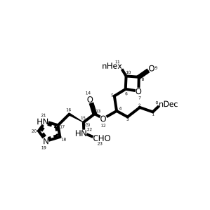 CCCCCCCCCCCCCC(CC1OC(=O)C1CCCCCC)OC(=O)[C@H](Cc1cnc[nH]1)NC=O